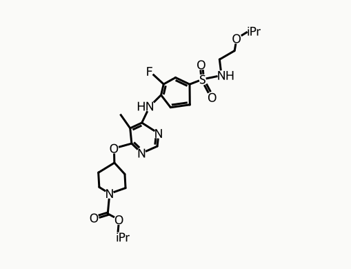 Cc1c(Nc2ccc(S(=O)(=O)NCCOC(C)C)cc2F)ncnc1OC1CCN(C(=O)OC(C)C)CC1